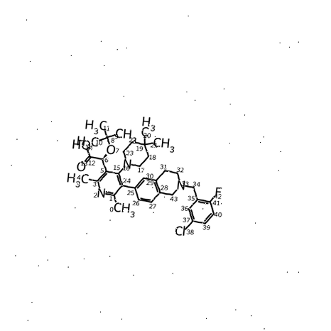 Cc1nc(C)c([C@H](OC(C)(C)C)C(=O)O)c(N2CCC(C)(C)CC2)c1-c1ccc2c(c1)CCN(Cc1cc(Cl)ccc1F)C2